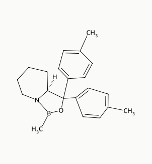 CB1OC(c2ccc(C)cc2)(c2ccc(C)cc2)[C@@H]2CCCCN12